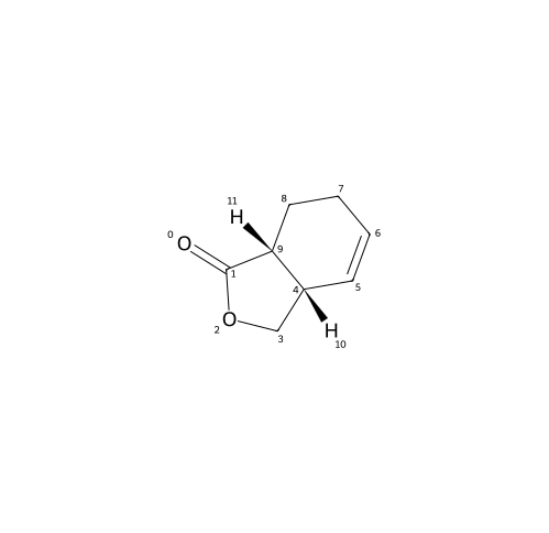 O=C1OC[C@H]2C=CCC[C@@H]12